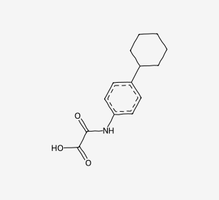 O=C(O)C(=O)Nc1ccc(C2CCCCC2)cc1